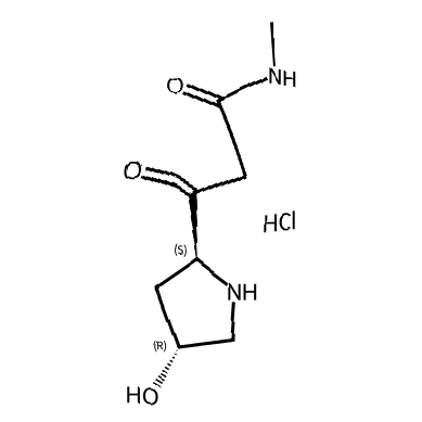 CNC(=O)CC(=O)[C@@H]1C[C@@H](O)CN1.Cl